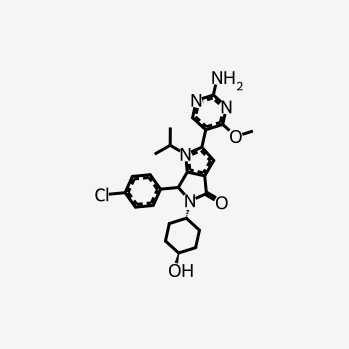 COc1nc(N)ncc1-c1cc2c(n1C(C)C)C(c1ccc(Cl)cc1)N([C@H]1CC[C@H](O)CC1)C2=O